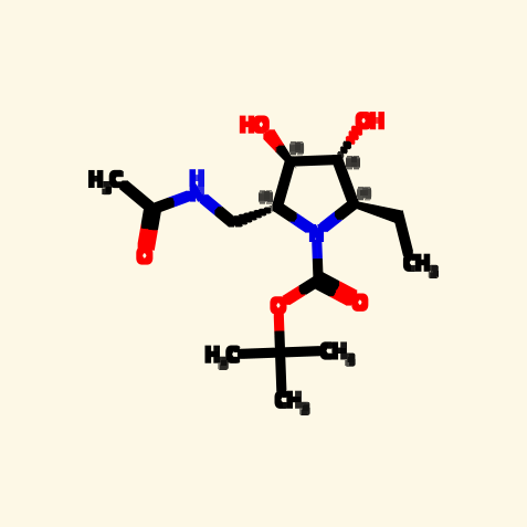 CC[C@@H]1[C@@H](O)[C@H](O)[C@@H](CNC(C)=O)N1C(=O)OC(C)(C)C